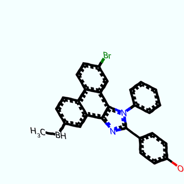 CBc1ccc2c3ccc(Br)cc3c3c(nc(-c4ccc(O)cc4)n3-c3ccccc3)c2c1